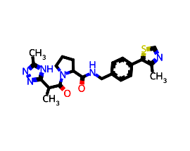 Cc1nnc(C(C)C(=O)N2CCCC2C(=O)NCc2ccc(-c3scnc3C)cc2)[nH]1